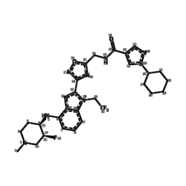 CN1CC[C@@H](Nc2cccc3c2cc(-c2noc(CNC(=O)c4cnn(C5CCCCC5)c4)n2)n3CC(F)(F)F)[C@@H](F)C1